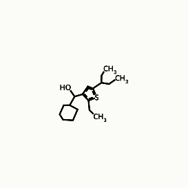 CCc1sc(C(CC)CC)cc1C(O)C1CCCCC1